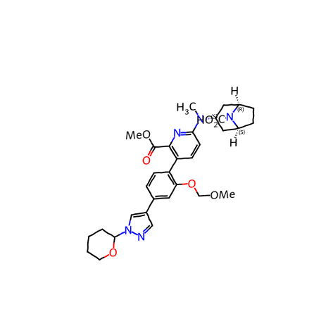 COCOc1cc(-c2cnn(C3CCCCO3)c2)ccc1-c1ccc(N(C)[C@@H]2C[C@H]3CC[C@@H](C2)N3C(=O)O)nc1C(=O)OC